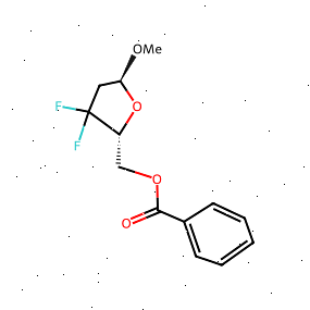 CO[C@@H]1CC(F)(F)[C@@H](COC(=O)c2ccccc2)O1